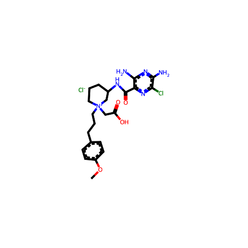 COc1ccc(CCC[N+]2(CC(=O)O)CCCC(NC(=O)c3nc(Cl)c(N)nc3N)C2)cc1.[Cl-]